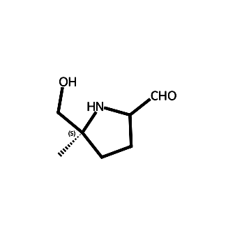 C[C@@]1(CO)CCC(C=O)N1